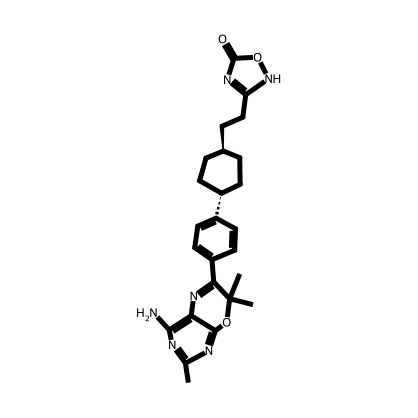 Cc1nc(N)c2c(n1)OC(C)(C)C(c1ccc([C@H]3CC[C@H](CCc4nc(=O)o[nH]4)CC3)cc1)=N2